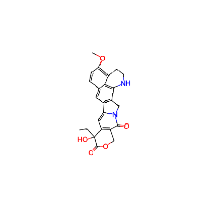 CCC1(O)C(=O)OCc2c1cc1n(c2=O)Cc2c-1cc1ccc(OC)c3c1c2NCC3